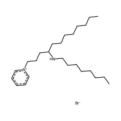 CCCCCCCCNC(CCCCCCCC)CCC[n+]1ccccc1.[Br-]